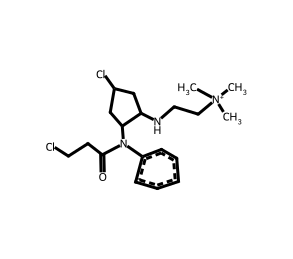 C[N+](C)(C)CCNC1CC(Cl)CC1N(C(=O)CCCl)c1ccccc1